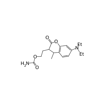 CCN(CC)c1ccc2c(c1)OC(=O)C(CCOC(N)=O)C2C